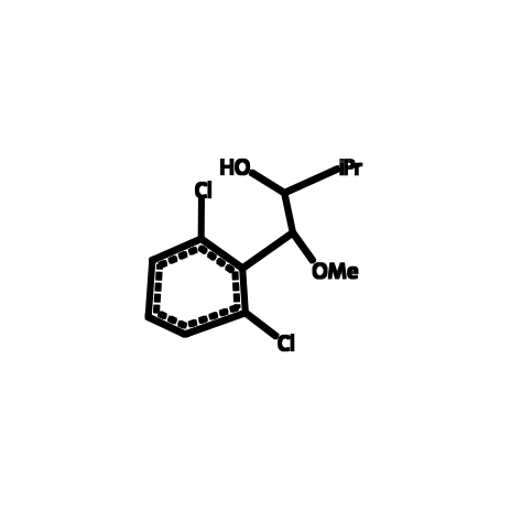 COC(c1c(Cl)cccc1Cl)C(O)C(C)C